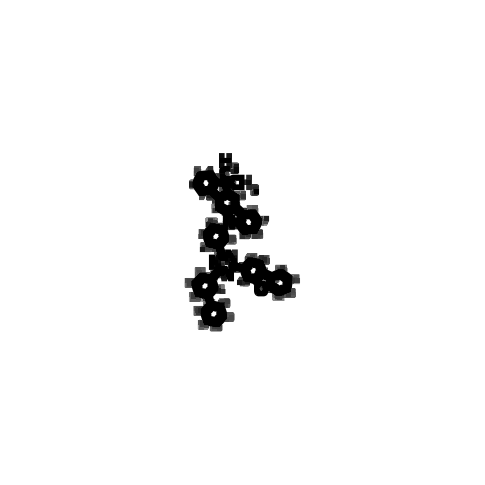 CC1(C)c2ccccc2-c2cc3c(cc21)c1ccccc1n3-c1cccc(-c2nc(-c3cccc(-c4ccccc4)c3)nc(-c3ccc4c(c3)oc3ccccc34)n2)c1